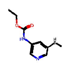 CBc1cncc(NC(=O)OCC)c1